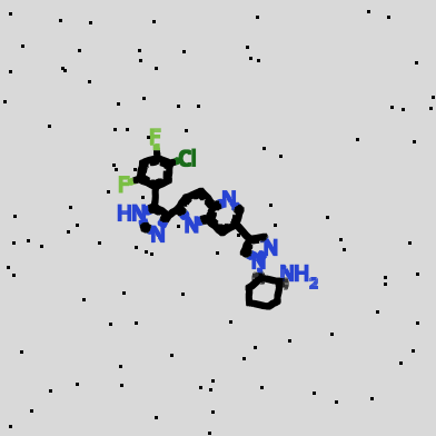 N[C@@H]1CCCC[C@H]1n1cc(-c2cnc3ccc(-c4nc[nH]c4-c4cc(Cl)c(F)cc4F)nc3c2)cn1